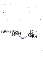 CCCCCNC(=O)NCCCC/C=C\CCCCO[Si](c1ccccc1)(c1ccccc1)C(C)(C)C